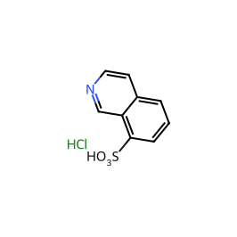 Cl.O=S(=O)(O)c1cccc2ccncc12